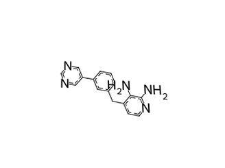 Nc1nccc(Cc2cccc(-c3cncnc3)c2)c1N